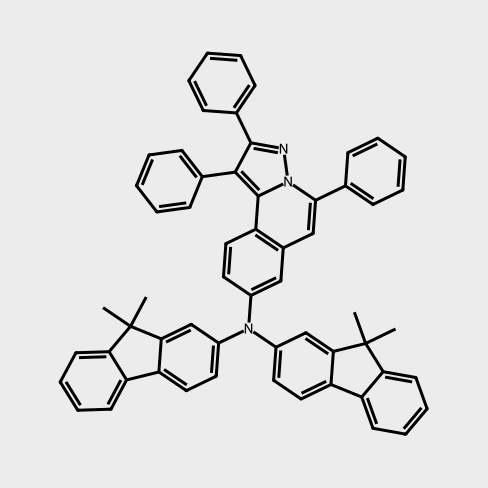 CC1(C)c2ccccc2-c2ccc(N(c3ccc4c(c3)C(C)(C)c3ccccc3-4)c3ccc4c(c3)cc(-c3ccccc3)n3nc(-c5ccccc5)c(-c5ccccc5)c43)cc21